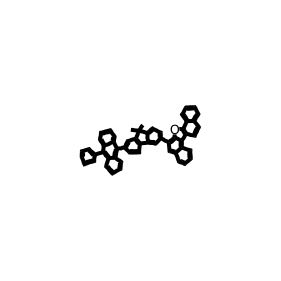 CC1(C)c2ccc(-c3cc4ccccc4c4c3oc3c5ccccc5ccc34)cc2-c2ccc(-c3c4ccccc4c(-c4ccccc4)c4ccccc34)cc21